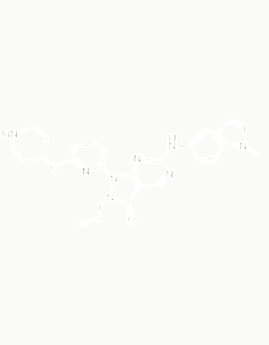 C=CCn1c(=O)c2cnc(Nc3ccc4c(ccn4C)c3)nc2n1-c1cccc(OC2CCNCC2)n1